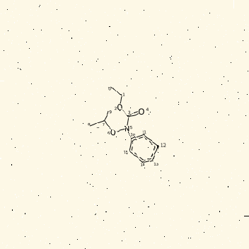 CCOC(=O)N(OC(C)C)c1ccccc1